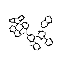 c1ccc(-c2nc(-c3ccc4ccccc4c3)nc(-c3cc(-n4c5cccc6c5c5c7c(cccc7ccc54)C64c5ccccc5-c5ccccc54)cc4oc5ccccc5c34)n2)cc1